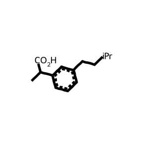 CC(C)CCc1cccc(C(C)C(=O)O)c1